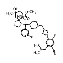 COC(=O)N[C@H]1CCC[C@@H]1[C@](CN1CCC(C)(O)CC1)(c1cccc(F)c1)C1CCN(CC2CN(c3cc(CN(C)C)c(C#N)cc3F)C2)CC1